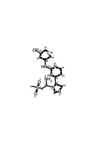 CS(=O)(=O)CC(N)n1cncc1-c1ccnc(Nc2cccc(Cl)c2)n1